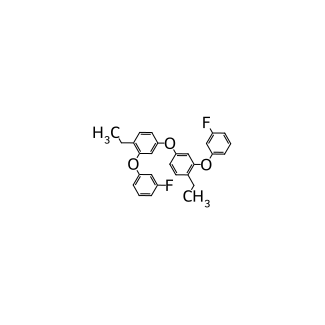 CCc1ccc(Oc2ccc(CC)c(Oc3cccc(F)c3)c2)cc1Oc1cccc(F)c1